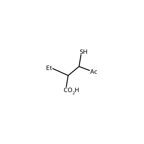 CCC(C(=O)O)C(S)C(C)=O